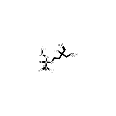 C=CC(O)(CCOP(=O)(OOO)[PH](=O)O)CC(=O)O